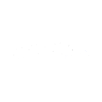 CN(C)CCC1CNc2cc(OCc3ccc(-c4ccccc4)cc3)ccc2C1